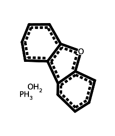 O.P.c1ccc2c(c1)oc1ccccc12